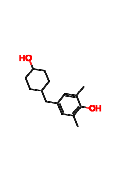 Cc1cc(CC2CCC(O)CC2)cc(C)c1O